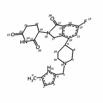 Cc1ccc(CN2CCC(c3cc(F)cc4c3CN(C3CCC(=O)NC3=O)C4=O)CC2)[nH]1